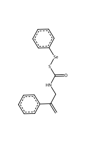 C=C(CNC(=O)S[Se]c1ccccc1)c1ccccc1